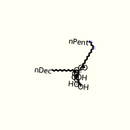 CCCCC/C=C\C/C=C\CCCCCCCCCC(=O)OC[C@H](COP(=O)(O)OC[C@@H](O)CO)OC(=O)CCCCCCCCCCCCCCCCCCCCC